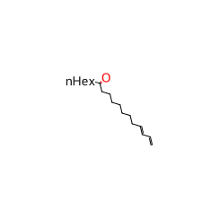 C=CC=CCCCCCCCC(=O)CCCCCC